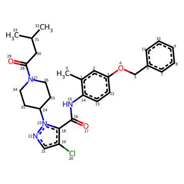 Cc1cc(OCc2ccccc2)ccc1NC(=O)c1c(Cl)cnn1C1CCN(C(=O)CC(C)C)CC1